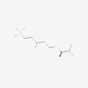 CC(C)C(=O)OCCC(O)CC[N+](C)(C)C